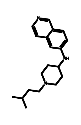 CC(C)CCN1CCC(Nc2ccc3cnccc3c2)CC1